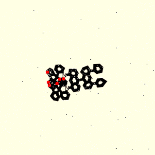 c1ccc(-c2cccc3c(-c4c5cccc(N6c7ccccc7C7(c8ccccc8-c8ccccc87)c7ccccc76)c5cc5c(N6c7ccccc7C7(c8ccccc8-c8ccccc87)c7ccccc76)cccc45)c4cccc(-c5ccccc5)c4cc23)cc1